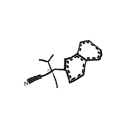 CC(C)[C@@](C)(C#N)c1ccc2ccccc2c1